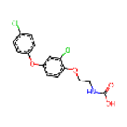 O=C(O)NCCOc1ccc(Oc2ccc(Cl)cc2)cc1Cl